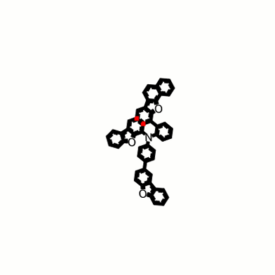 c1ccc(N(c2ccc(-c3ccc4oc5ccccc5c4c3)cc2)c2cccc3c2oc2ccccc23)c(-c2cccc3c2oc2c4ccccc4ccc32)c1